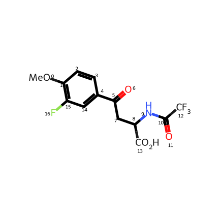 COc1ccc(C(=O)CC(NC(=O)C(F)(F)F)C(=O)O)cc1F